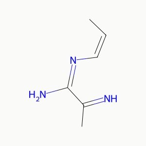 C/C=C\N=C(\N)C(C)=N